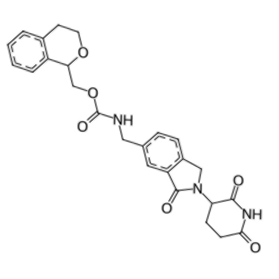 O=C1CCC(N2Cc3ccc(CNC(=O)OCC4OCCc5ccccc54)cc3C2=O)C(=O)N1